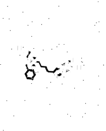 C=CCN(Cc1ccc(Cl)cc1)S(=O)(=O)CCC=Cc1cn(S(=O)(=O)N(C)C)cn1